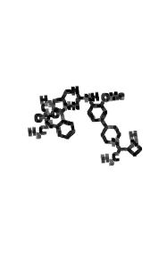 COc1cc(C2CCN(C(C)C3CCN3)CC2)ccc1Nc1ncc2ccc(-c3ccccc3N(C)S(C)(=O)=O)n2n1